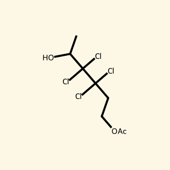 CC(=O)OCCC(Cl)(Cl)C(Cl)(Cl)C(C)O